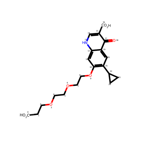 O=C(O)CCOCCOCCOc1cc2[nH]cc(C(=O)O)c(=O)c2cc1C1CC1